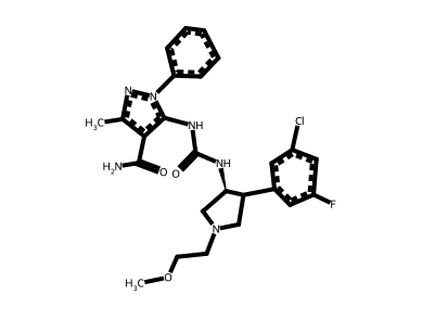 COCCN1CC(c2cc(F)cc(Cl)c2)[C@H](NC(=O)Nc2c(C(N)=O)c(C)nn2-c2ccccc2)C1